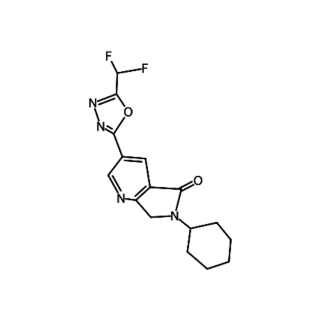 O=C1c2cc(-c3nnc(C(F)F)o3)cnc2CN1C1CCCCC1